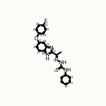 C/C(=N\NC(=S)Nc1ccccc1)c1nc2cc(Oc3ccc(F)cc3)ccc2[nH]1